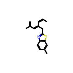 C=C(C)/C=C(\C=C/C)Cc1nc2ccc(C)cc2s1